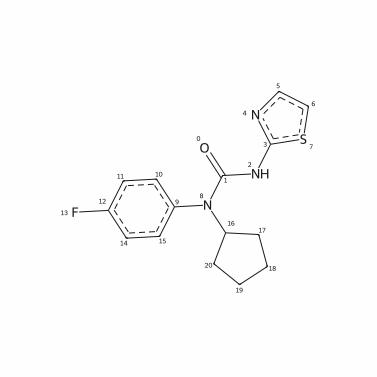 O=C(Nc1nccs1)N(c1ccc(F)cc1)C1CCCC1